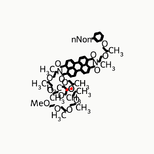 CCCCCCCCCc1cccc(OCC(C)OCC(C)N2C(=O)c3ccc4c5ccc6c7c(ccc(c8ccc(c3c48)C2=O)c75)C(=O)N(C(C)COC(C)COC(C)COC(C)COC(C)COC(C)COC(C)COC(C)COC(C)COCCOC)C6=O)c1